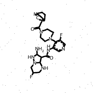 NC1NN2CC(F)CNC2C1C(=O)Nc1cncc(F)c1N1CCN(C(=O)C2CN3CCC2CC3)CC1